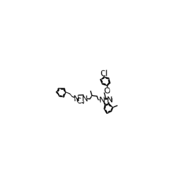 Cc1cccc2c1nc(COc1ccc(Cl)cc1)n2CCC(C)CN1CCN(CCc2ccccc2)CC1